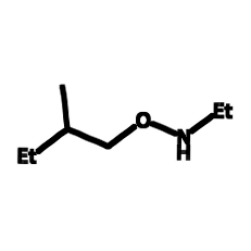 [CH2]CNOCC(C)CC